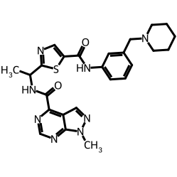 CC(NC(=O)c1ncnc2c1cnn2C)c1ncc(C(=O)Nc2cccc(CN3CCCCC3)c2)s1